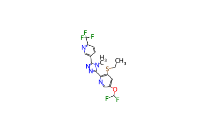 CCSc1cc(OC(F)F)cnc1-c1nnc(-c2ccc(C(F)(F)F)nc2)n1C